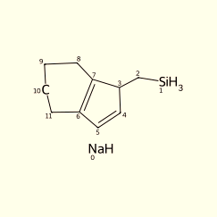 [NaH].[SiH3]CC1C=CC2=C1CCCC2